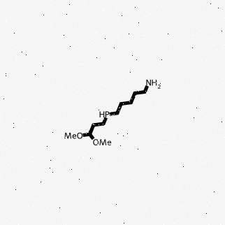 COC(CCPCCCCCN)OC